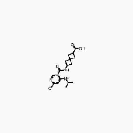 CC(C)Nc1cc(Cl)ncc1C(=O)NC1CC2(C1)CC(C(=O)O)C2